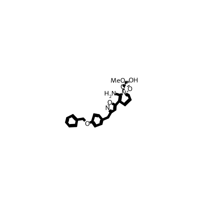 COP(=O)(O)O[n+]1cccc(-c2cc(Cc3ccc(OCc4ccccc4)cc3)no2)c1N